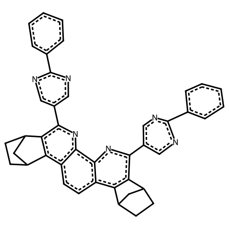 c1ccc(-c2ncc(-c3nc4c(ccc5c6c(c(-c7cnc(-c8ccccc8)nc7)nc54)C4CCC6C4)c4c3C3CCC4C3)cn2)cc1